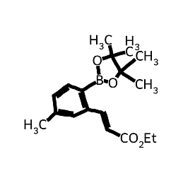 CCOC(=O)/C=C/c1cc(C)ccc1B1OC(C)(C)C(C)(C)O1